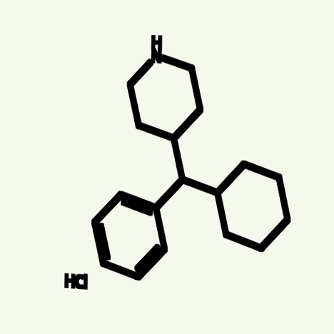 Cl.c1ccc(C(C2CCCCC2)C2CCNCC2)cc1